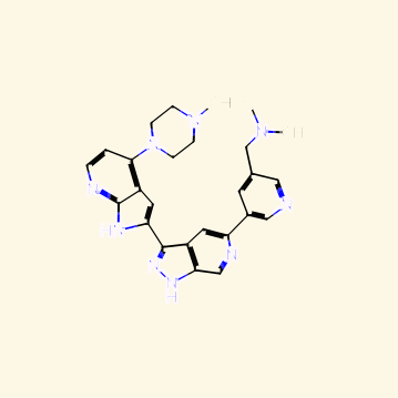 CN(C)Cc1cncc(-c2cc3c(-c4cc5c(N6CCN(C)CC6)ccnc5[nH]4)n[nH]c3cn2)c1